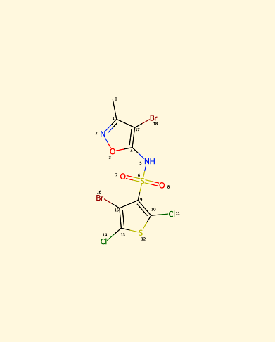 Cc1noc(NS(=O)(=O)c2c(Cl)sc(Cl)c2Br)c1Br